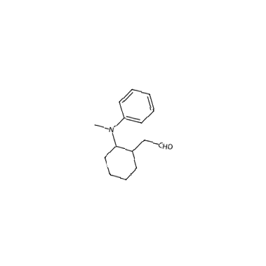 CN(c1ccccc1)C1CCCCC1CC=O